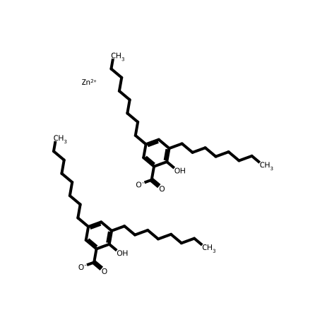 CCCCCCCCc1cc(CCCCCCCC)c(O)c(C(=O)[O-])c1.CCCCCCCCc1cc(CCCCCCCC)c(O)c(C(=O)[O-])c1.[Zn+2]